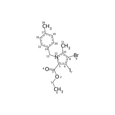 CCOC(=O)c1c(I)c(Br)c(C)n1Cc1ccc(C)cc1